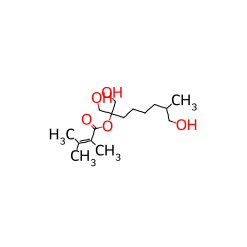 CC(C)=C(C)C(=O)OC(CO)(CO)CCCCC(C)CO